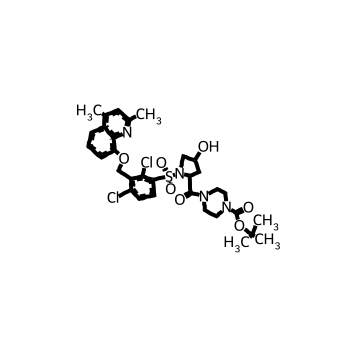 Cc1cc(C)c2cccc(OCc3c(Cl)ccc(S(=O)(=O)N4CC(O)CC4C(=O)N4CCN(C(=O)OC(C)(C)C)CC4)c3Cl)c2n1